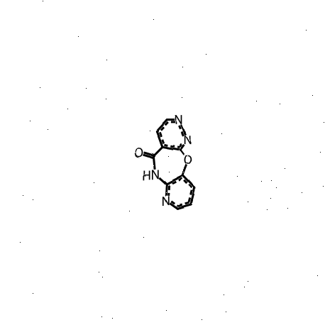 O=C1Nc2ncccc2Oc2nnccc21